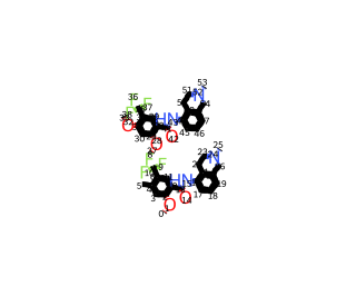 COc1cc(C)c(C(F)(F)F)cc1C(=O)Nc1cccc2c1CCN(C)C2.COc1cc(OC)c(C(F)(F)F)cc1C(=O)Nc1cccc2c1CCN(C)C2